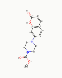 CC(C)(C)OC(=O)N1CCN(c2ccc3ccc(=O)oc3c2)CC1